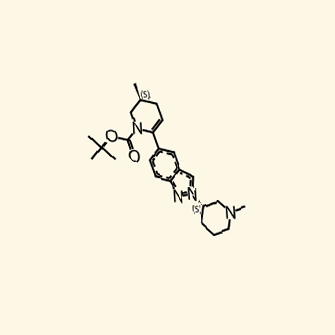 C[C@H]1CC=C(c2ccc3nn([C@H]4CCCN(C)C4)cc3c2)N(C(=O)OC(C)(C)C)C1